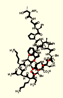 CC[C@H](C)[C@H](NC(=O)[C@H](Cc1c[nH]c2ccccc12)NC(=O)[C@H](CO)NC(=O)[C@@H](NC(=O)[C@H](CC(C)C)NC(=O)[C@@H](NC(=O)[C@@H]1CCCN1C(=O)[C@H](CC(C)C)NC(=O)CNC(=O)[C@@H](N)[C@@H](C)O)[C@@H](C)O)[C@@H](C)CC)C(=O)N[C@@H](CCCCN)C(=O)N[C@@H](CC(N)=O)C(=O)N[C@@H](CCCCN)C(=O)N[C@@H](CCCNC(=N)N)C(=O)N[C@@H](CCCCN)C(=O)N[C@@H](CCC(N)=O)C(=O)O